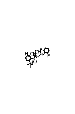 CN(C)N(CCCc1c(F)cccc1F)C(=O)c1ccccc1C(F)(F)F